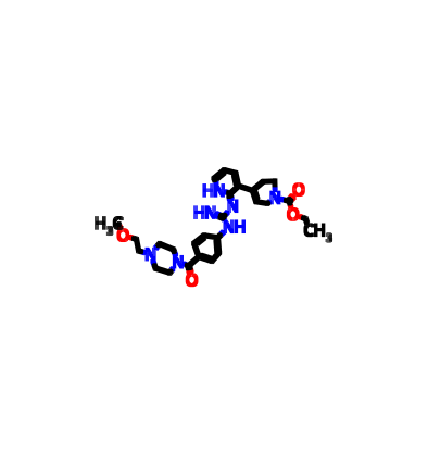 CCOC(=O)N1CC=C(c2ccc[nH]/c2=N\C(=N)Nc2ccc(C(=O)N3CCN(CCOC)CC3)cc2)CC1